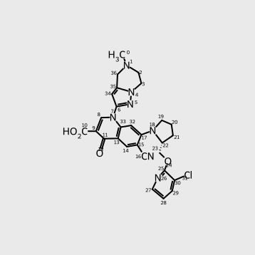 CN1CCn2nc(-n3cc(C(=O)O)c(=O)c4cc(C#N)c(N5CCC[C@@H]5COc5ncccc5Cl)cc43)cc2C1